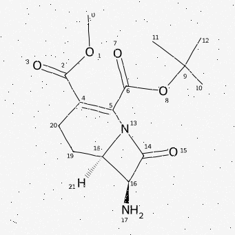 COC(=O)C1=C(C(=O)OC(C)(C)C)N2C(=O)[C@@H](N)[C@H]2CC1